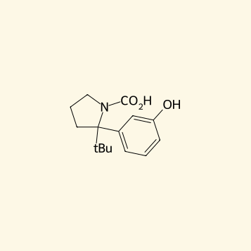 CC(C)(C)C1(c2cccc(O)c2)CCCN1C(=O)O